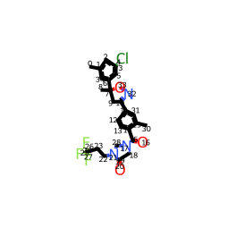 Cc1cc(Cl)cc(C2(C)CC(c3ccc(C(=O)N4CC(=O)N(CCC(F)(F)F)C4)c(C)c3)=NO2)c1